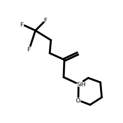 C=C(CCC(F)(F)F)C[SiH]1CCCCO1